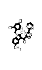 Cc1ccc2c(c1)c(C(=O)c1nc(-c3ncccn3)no1)c(C)n2Cc1ccc(Cl)cc1Cl